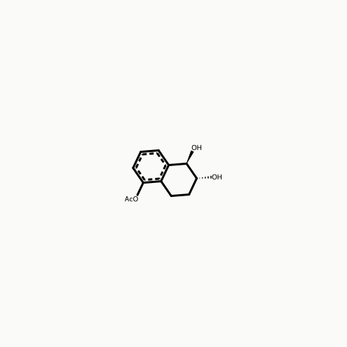 CC(=O)Oc1cccc2c1CC[C@@H](O)[C@@H]2O